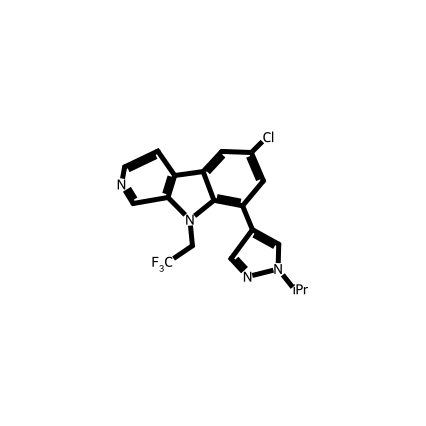 CC(C)n1cc(-c2cc(Cl)cc3c4ccncc4n(CC(F)(F)F)c23)cn1